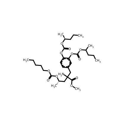 CCCCCOC(=O)O[C@@H](C)CC(N)(Cc1ccc(OC(=O)O[C@@H](C)CCC)c(OC(=O)OC(C)CCC)c1)C(=O)OC